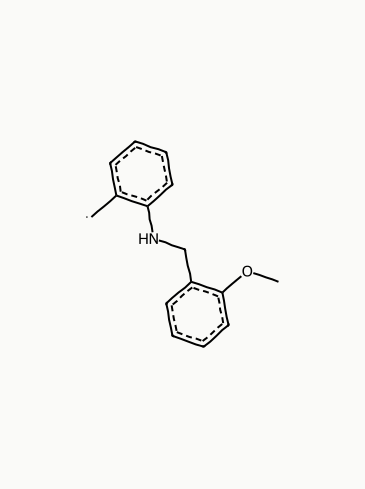 [CH2]c1ccccc1NCc1ccccc1OC